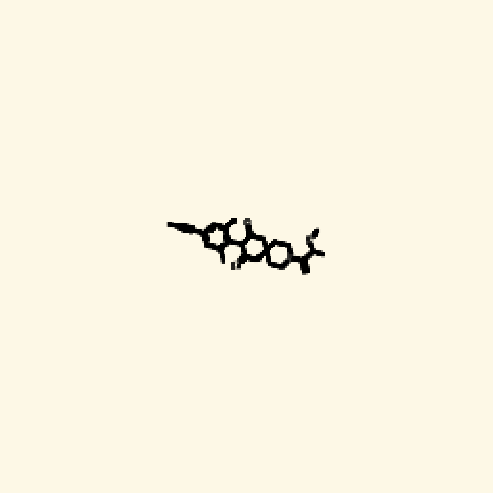 C=C(C(C)SC)N1CCC2(CC1)CC(=O)C(c1c(C)cc(C#CC)cc1C)C(=O)C2